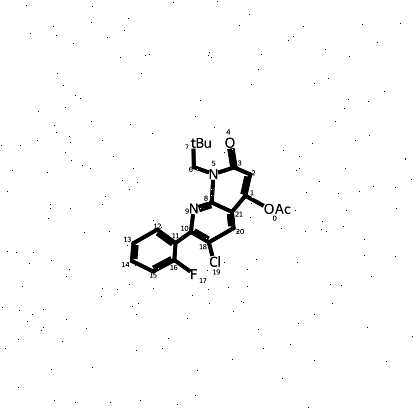 CC(=O)Oc1cc(=O)n(CC(C)(C)C)c2nc(-c3ccccc3F)c(Cl)cc12